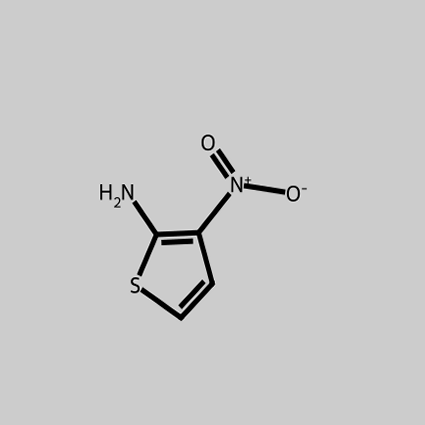 Nc1sccc1[N+](=O)[O-]